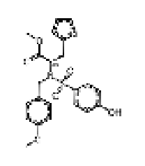 COC(=O)[C@@H](Cc1cccs1)N(Cc1ccc(OC)cc1)S(=O)(=O)c1ccc(O)cc1